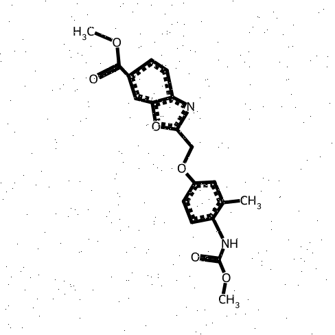 COC(=O)Nc1ccc(OCc2nc3ccc(C(=O)OC)cc3o2)cc1C